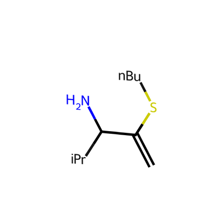 C=C(SCCCC)C(N)C(C)C